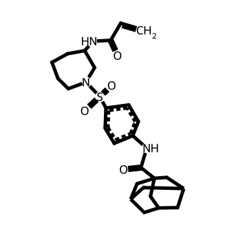 C=CC(=O)NC1CCCCN(S(=O)(=O)c2ccc(NC(=O)C34CC5CC(CC(C5)C3)C4)cc2)C1